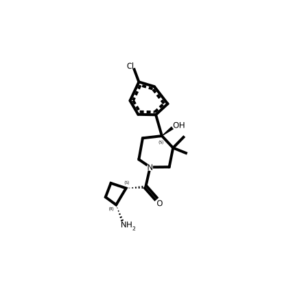 CC1(C)CN(C(=O)[C@H]2CC[C@H]2N)CC[C@]1(O)c1ccc(Cl)cc1